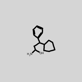 NC(O)CC(c1ccccc1)C1CCCCC1